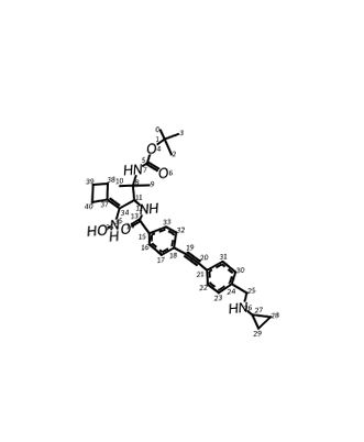 CC(C)(C)OC(=O)NC(C)(C)C(NC(=O)c1ccc(C#Cc2ccc(CNC3CC3)cc2)cc1)C(NO)=C1CCC1